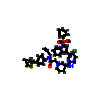 C#CCN(C(=O)CN1CCC[C@@H](Nc2ncc(Cl)c(-c3cn(S(=O)(=O)c4ccccc4)c4ccccc34)n2)C1)c1ccc([As]2SCCS2)cc1